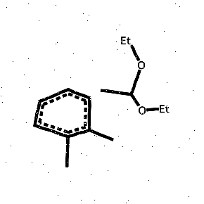 CCOC(C)OCC.Cc1ccccc1C